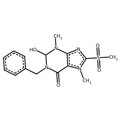 CN1c2nc(S(C)(=O)=O)n(C)c2C(=O)N(Cc2ccccc2)C1O